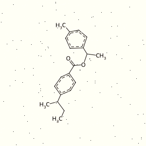 CCC(C)c1ccc(C(=O)OC(C)c2ccc(C)cc2)cc1